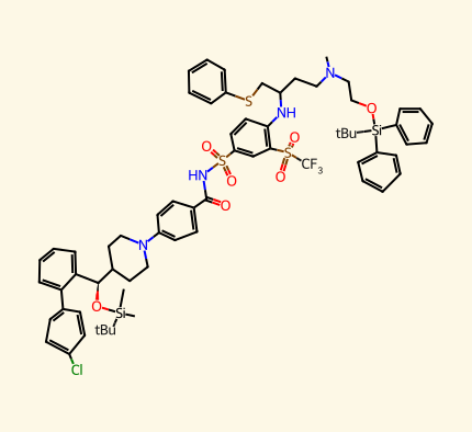 CN(CCO[Si](c1ccccc1)(c1ccccc1)C(C)(C)C)CCC(CSc1ccccc1)Nc1ccc(S(=O)(=O)NC(=O)c2ccc(N3CCC([C@@H](O[Si](C)(C)C(C)(C)C)c4ccccc4-c4ccc(Cl)cc4)CC3)cc2)cc1S(=O)(=O)C(F)(F)F